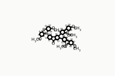 COc1ccc2c(c1)N(c1ccc3c(c1)-c1cc(-c4ccc5c6ccc(OC)cc6n(OC)c5c4)c(-c4ccc5c6ccc(OC)cc6n(OC)c5c4)cc1C3=O)c1cc(OC)ccc1S2